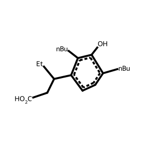 CCCCc1ccc(C(CC)CC(=O)O)c(CCCC)c1O